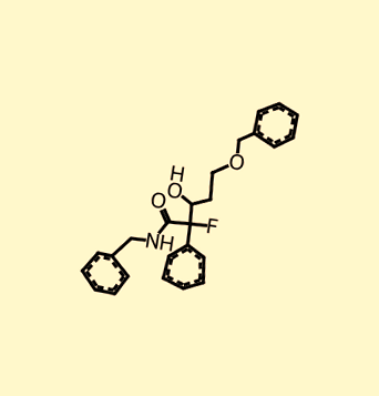 O=C(NCc1ccccc1)C(F)(c1ccccc1)C(O)CCOCc1ccccc1